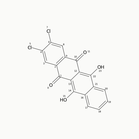 O=C1c2cc(Cl)c(Cl)cc2C(=O)c2c1c(O)c1ccccc1c2O